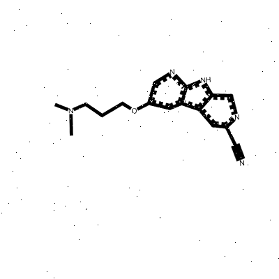 CN(C)CCCOc1cnc2[nH]c3cnc(C#N)cc3c2c1